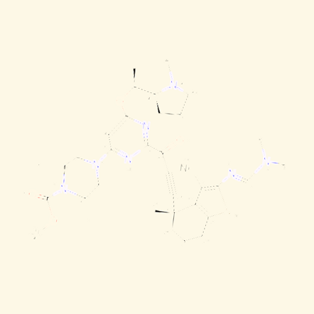 C[C@H](Oc1cc(N2C[C@@H](C)N(C(=O)OC(C)(C)C)[C@@H](C)C2)nc(C(=O)C#C[C@@]2(C)CCCc3sc(/N=C/N(C)C)c(C#N)c32)n1)[C@@H]1CCCN1C